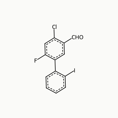 O=Cc1cc(-c2ccccc2I)c(F)cc1Cl